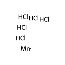 Cl.Cl.Cl.Cl.Cl.[Mn]